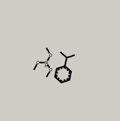 CC(C)c1ccccc1.CO[SiH](OC)OC